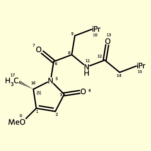 COC1=CC(=O)N(C(=O)C(CC(C)C)NC(=O)CC(C)C)[C@H]1C